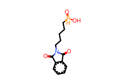 O=C1c2ccccc2C(=O)N1CCCCC[PH](=O)O